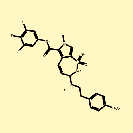 COc1ccc(CC[C@H](C)C2C=Cc3c(cn(C)c3C(=O)Nc3cc(F)c(F)c(F)c3)S(=N)(=O)N2)cc1